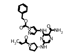 C=CC(=O)N1CC[C@@H](Nc2cnc(C(N)=O)c(Nc3cnn(C(=O)OCc4ccccc4)c3)n2)C1